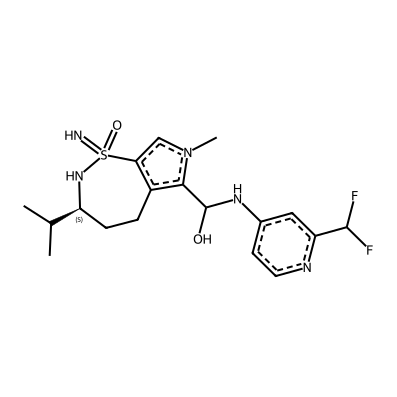 CC(C)[C@@H]1CCc2c(cn(C)c2C(O)Nc2ccnc(C(F)F)c2)S(=N)(=O)N1